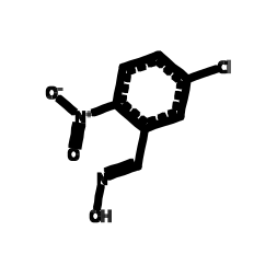 O=[N+]([O-])c1ccc(Cl)cc1C=NO